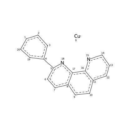 [Cu].c1ccc(-c2ccc3ccc4cccnc4c3n2)cc1